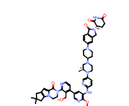 COc1ncc(-c2ccnc(N3CCn4c(cc5c4CC(C)(C)C5)C3=O)c2CO)cc1Nc1ccc(N2CCN(C3CCN(c4ccc5c(c4)CN([C@H]4CCC(=O)NC4=O)C5=O)CC3)C[C@@H]2C)cn1